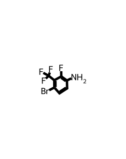 Nc1ccc(Br)c(C(F)(F)F)c1F